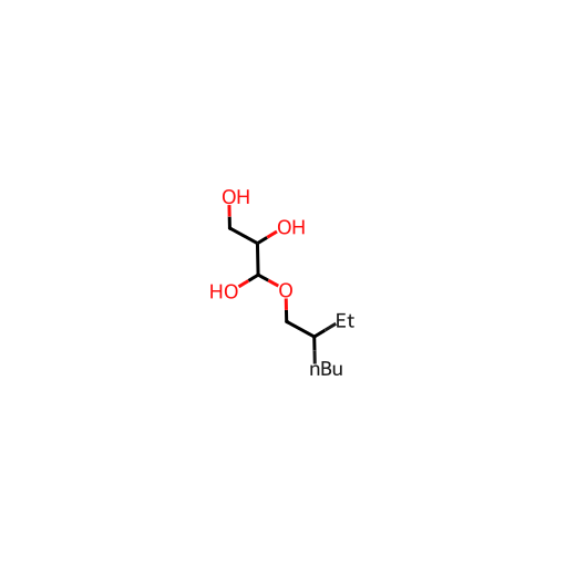 CCCCC(CC)COC(O)C(O)CO